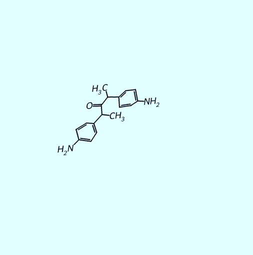 CC(C(=O)C(C)c1ccc(N)cc1)c1ccc(N)cc1